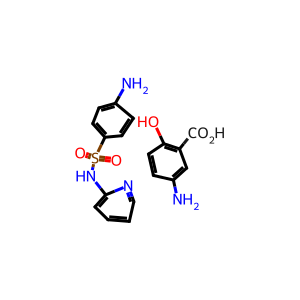 Nc1ccc(O)c(C(=O)O)c1.Nc1ccc(S(=O)(=O)Nc2ccccn2)cc1